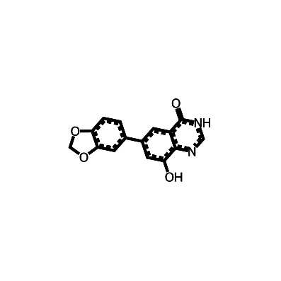 O=c1[nH]cnc2c(O)cc(-c3ccc4c(c3)OCO4)cc12